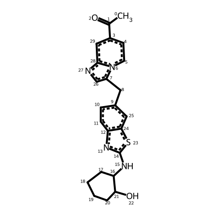 CC(=O)c1ccn2c(Cc3ccc4nc(NC5CCCCC5O)sc4c3)cnc2c1